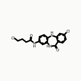 O=C(CCCCl)Nc1ccc2c(c1)NC(=O)c1ccc(Cl)cc1N2